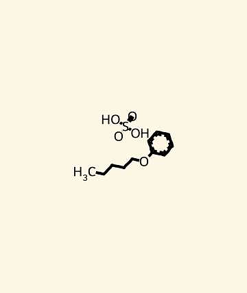 CCCCCOc1ccccc1.O=S(=O)(O)O